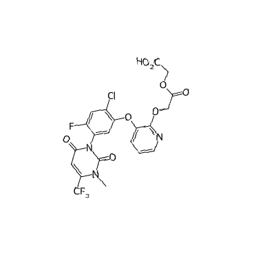 Cn1c(C(F)(F)F)cc(=O)n(-c2cc(Oc3cccnc3OCC(=O)OCC(=O)O)c(Cl)cc2F)c1=O